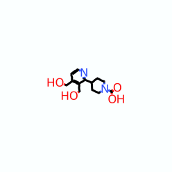 O=C(O)N1CCC(c2nccc(CO)c2CO)CC1